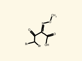 CON=C(C(=O)O)C(=O)C(Br)Br